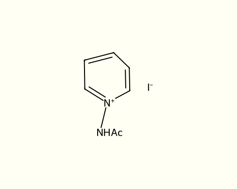 CC(=O)N[n+]1ccccc1.[I-]